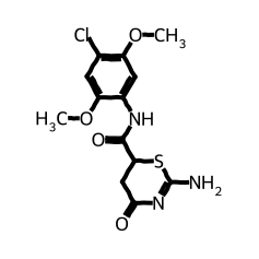 COc1cc(NC(=O)C2CC(=O)N=C(N)S2)c(OC)cc1Cl